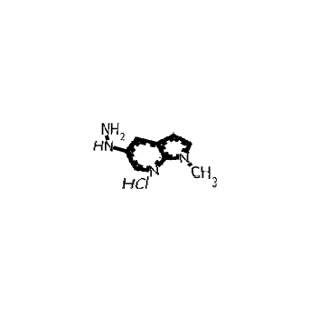 Cl.Cn1ccc2cc(NN)cnc21